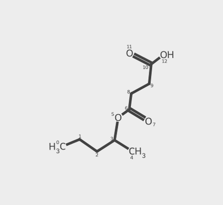 CCCC(C)OC(=O)CCC(=O)O